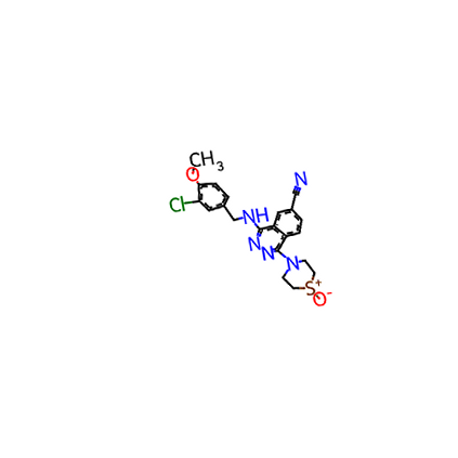 COc1ccc(CNc2nnc(N3CC[S+]([O-])CC3)c3ccc(C#N)cc23)cc1Cl